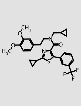 COc1ccc(CCN(CC2CC2)C(=O)c2nc(C3CC3)sc2-c2cccc(C(F)(F)F)c2)cc1OC